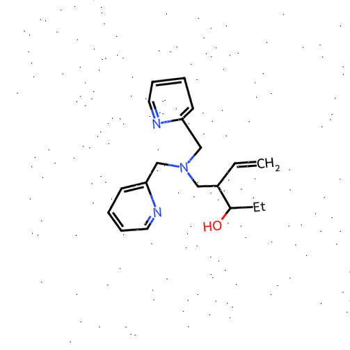 C=CC(CN(Cc1ccccn1)Cc1ccccn1)C(O)CC